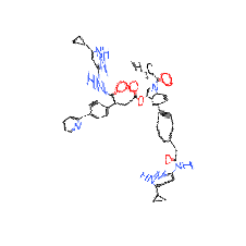 CC(=O)n1cc(OC(=O)CC(C(=O)Nc2cc(C3CC3)[nH]n2)c2ccc(-c3ccccn3)cc2)c2cc(-c3ccc(CC(=O)Nc4cc(C5CC5)[nH]n4)cc3)ccc21